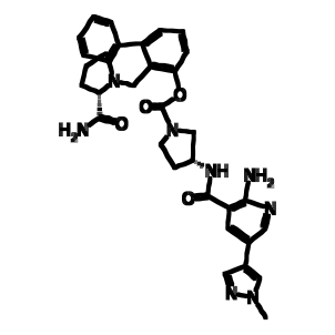 Cn1cc(-c2cnc(N)c(C(=O)N[C@@H]3CCN(C(=O)Oc4cccc(-c5ccccc5)c4CN4CCC[C@H]4C(N)=O)C3)c2)cn1